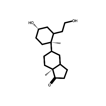 C[C@]1(C2CC[C@]3(C)C(=O)CCC3C2)CC[C@H](O)CC1CCO